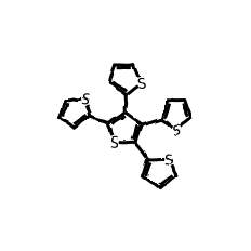 c1csc(-c2sc(-c3cccs3)c(-c3cccs3)c2-c2cccs2)c1